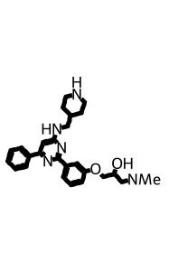 CNCC(O)COc1cccc(-c2nc(NCC3CCNCC3)cc(-c3ccccc3)n2)c1